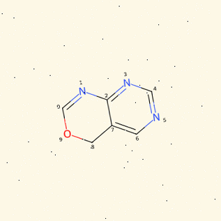 C1=Nc2ncncc2CO1